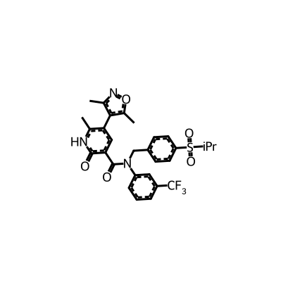 Cc1noc(C)c1-c1cc(C(=O)N(Cc2ccc(S(=O)(=O)C(C)C)cc2)c2cccc(C(F)(F)F)c2)c(=O)[nH]c1C